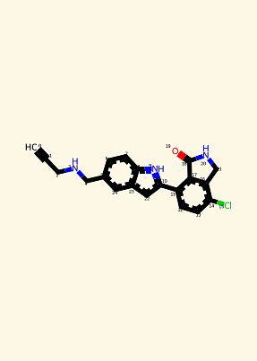 C#CCNCc1ccc2[nH]c(-c3ccc(Cl)c4c3C(=O)NC4)cc2c1